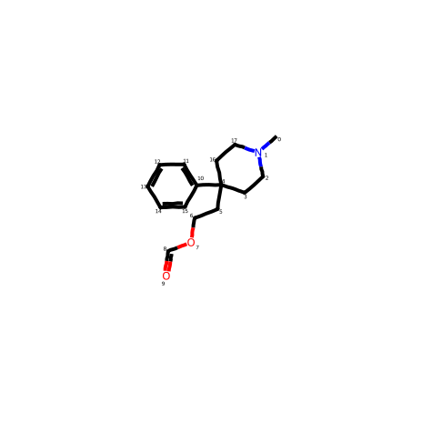 CN1CCC(CCOC=O)(c2ccccc2)CC1